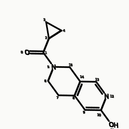 O=C(C1CC1)N1CCc2cc(O)ncc2C1